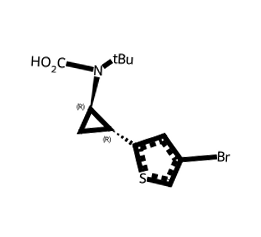 CC(C)(C)N(C(=O)O)[C@@H]1C[C@H]1c1cc(Br)cs1